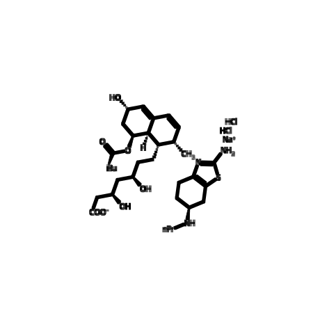 CCCN[C@H]1CCc2nc(N)sc2C1.CC[C@H](C)C(=O)O[C@H]1C[C@H](O)C=C2C=C[C@H](C)[C@H](CC[C@@H](O)C[C@@H](O)CC(=O)[O-])[C@H]21.Cl.Cl.[Na+]